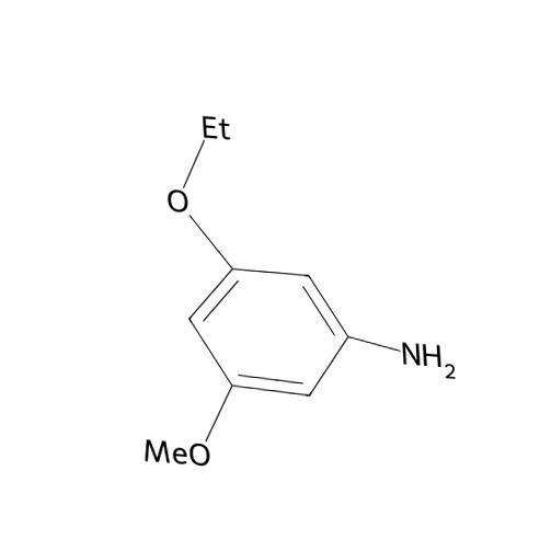 CCOc1cc(N)cc(OC)c1